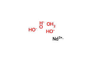 O.[Nd+3].[OH-].[OH-].[OH-]